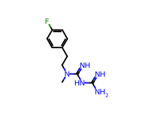 CN(CCc1ccc(F)cc1)C(=N)NC(=N)N